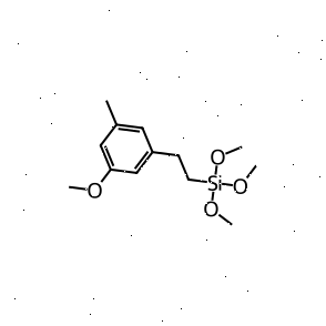 COc1cc(C)cc(CC[Si](OC)(OC)OC)c1